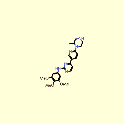 COc1cc(Nc2nccc(-c3ccc(N4CCNCC4C)nc3)n2)cc(OC)c1OC